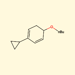 CCCCOC1C=CC(C2CC2)=CC1